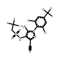 N#Cc1nn(-c2c(Cl)cc(C(F)(F)F)cc2Cl)c(N)c1NS(=O)(=O)CC(F)(F)F